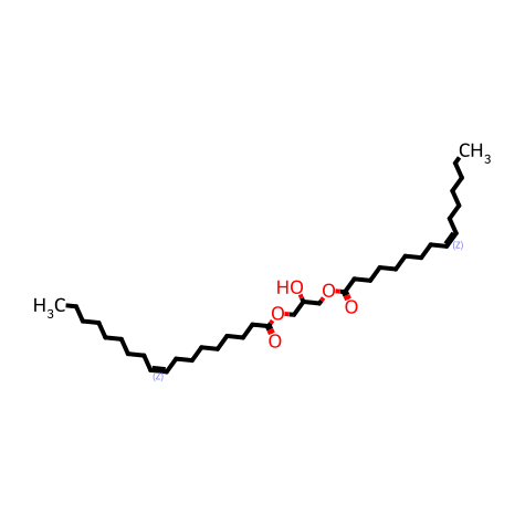 CCCCCC/C=C\CCCCCCCC(=O)OCC(O)COC(=O)CCCCCCC/C=C\CCCCCCCC